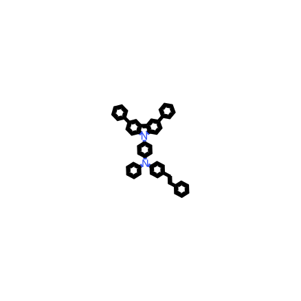 C(=C\c1ccc(N(c2ccccc2)c2ccc(-n3c4ccc(-c5ccccc5)cc4c4cc(-c5ccccc5)ccc43)cc2)cc1)/c1ccccc1